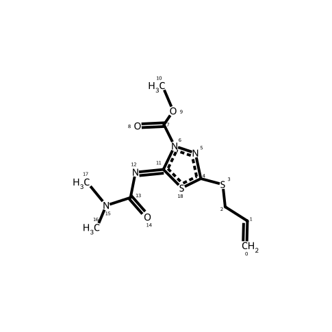 C=CCSc1nn(C(=O)OC)c(=NC(=O)N(C)C)s1